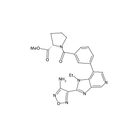 CCn1c(-c2nonc2N)nc2cncc(-c3cccc(C(=O)N4CCC[C@H]4C(=O)OC)c3)c21